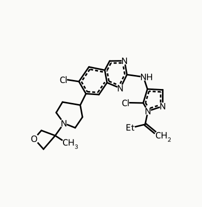 C=C(CC)n1ncc(Nc2ncc3cc(Cl)c(C4CCN(C5(C)COC5)CC4)cc3n2)c1Cl